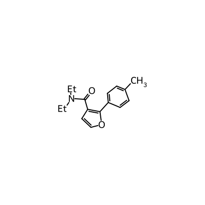 CCN(CC)C(=O)c1ccoc1-c1ccc(C)cc1